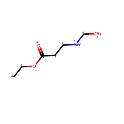 CCOC(=O)CCNCO